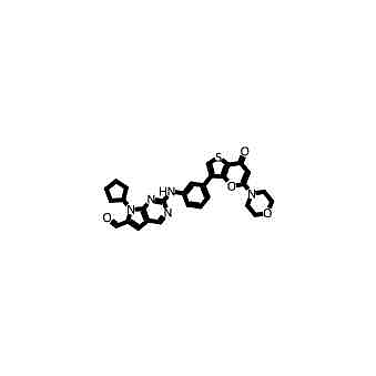 O=Cc1cc2cnc(Nc3cccc(-c4csc5c(=O)cc(N6CCOCC6)oc45)c3)nc2n1C1CCCC1